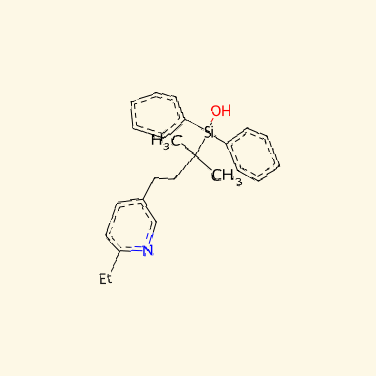 CCc1ccc(CCC(C)(C)[Si](O)(c2ccccc2)c2ccccc2)cn1